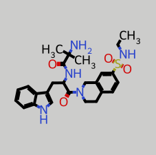 CCNS(=O)(=O)c1ccc2c(c1)CN(C(=O)C(Cc1c[nH]c3ccccc13)NC(=O)C(C)(C)N)CC2